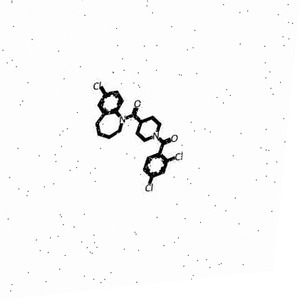 O=C(c1ccc(Cl)cc1Cl)N1CCC(C(=O)N2CCCCc3cc(Cl)ccc32)CC1